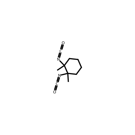 CC1(N=C=O)CCCCC1(C)N=C=O